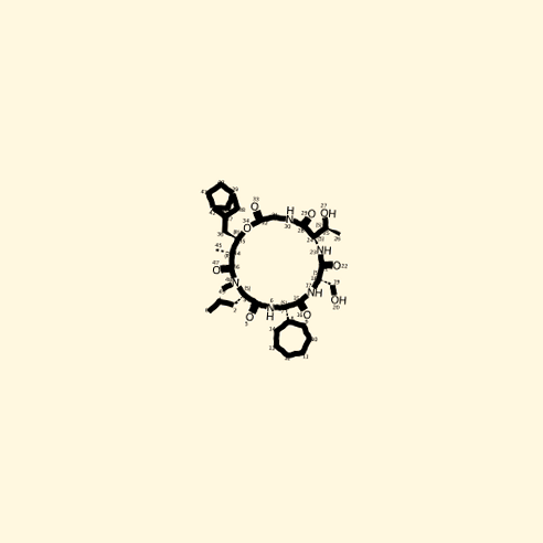 CCC[C@H]1C(=O)N[C@@H](C2CCCCCC2)C(=O)N[C@@H](CO)C(=O)N[C@@H]([C@H](C)O)C(=O)NCC(=O)O[C@H](CC2CC3CCC2C3)[C@@H](C)C(=O)N1C